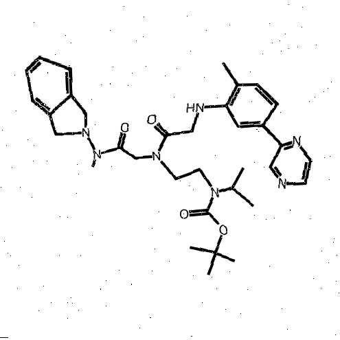 Cc1ccc(-c2cnccn2)cc1NCC(=O)N(CCN(C(=O)OC(C)(C)C)C(C)C)CC(=O)N(C)N1Cc2ccccc2C1